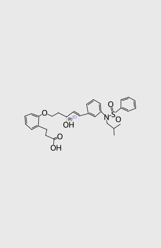 CC(C)CN(c1cccc(/C=C/[C@H](O)CCOc2ccccc2CCC(=O)O)c1)S(=O)(=O)c1ccccc1